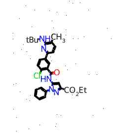 CCOC(=O)c1cc(NC(=O)c2cc(-c3ccc(C)c(NC(C)(C)C)n3)ccc2Cl)n(-c2ccccc2)n1